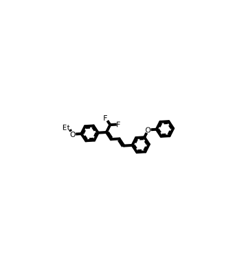 CCOc1ccc(C(=CC=Cc2cccc(Oc3ccccc3)c2)C(F)F)cc1